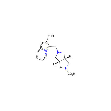 O=Cc1cc2ccccn2c1CN1C[C@@H]2CN(C(=O)O)C[C@@H]2C1